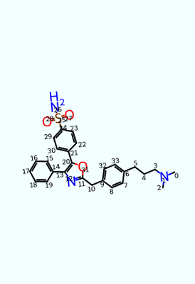 CN(C)CCCc1ccc(Cc2nc(-c3ccccc3)c(-c3ccc(S(N)(=O)=O)cc3)o2)cc1